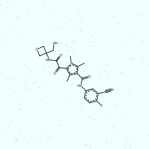 Cc1c(C(=O)Nc2ccc(F)c(C#N)c2)c(C)n(C)c1C(=O)C(=O)NC1(CO)COC1